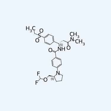 CCS(=O)(=O)c1ccc([C@H](CC(=O)N(C)C)NC(=O)c2ccc(N3CCC[C@H]3COC(F)F)cc2)cc1